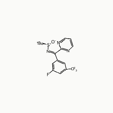 CC(C)(C)[S@@+]([O-])N=C(c1cc(F)cc(C(F)(F)F)c1)c1ncccn1